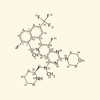 C#Cc1c(F)ccc2cc(C(F)(F)F)cc(-c3ncc4c(N(C)C[C@@H]5CCCCN5)nc(N5CCOCC5)nc4c3F)c12